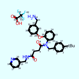 CC(C)(C)c1ccc(CN(C(=O)CCC(=O)NCc2cccnc2)c2ccccc2Oc2cccc(CN)c2)cc1.O=C(O)C(F)(F)F